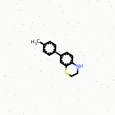 Cc1ccc(-c2ccc3c(c2)SCCN3)cc1